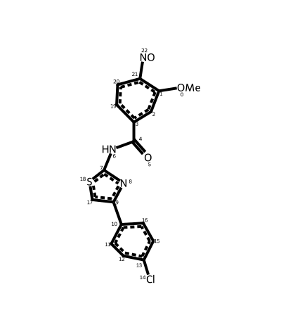 COc1cc(C(=O)Nc2nc(-c3ccc(Cl)cc3)cs2)ccc1N=O